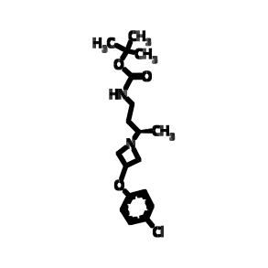 C[C@H](CCNC(=O)OC(C)(C)C)N1CC(Oc2ccc(Cl)cc2)C1